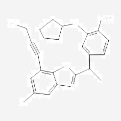 COc1ccc(C(C)c2nc3cc(Cl)cc(C#CCO)c3o2)cc1OC1CCCC1